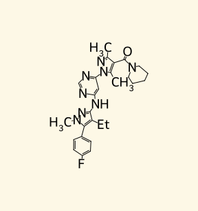 CCc1c(Nc2cc(-n3nc(C)c(C(=O)N4CCCCC4)c3C)ncn2)nn(C)c1-c1ccc(F)cc1